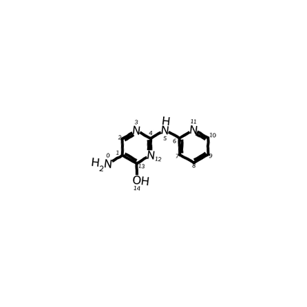 Nc1cnc(Nc2ccccn2)nc1O